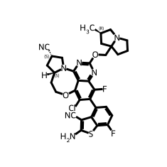 C[C@H]1CN2CCCC2(COc2nc3c4c(c(Cl)c(-c5ccc(F)c6sc(N)c(C#N)c56)c(F)c4n2)OCC[C@@H]2C[C@H](C#N)CN32)C1